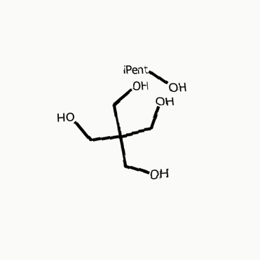 CCCC(C)O.OCC(CO)(CO)CO